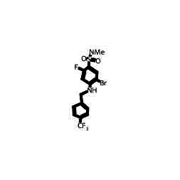 CNS(=O)(=O)c1cc(Br)c(NCc2ccc(C(F)(F)F)cc2)cc1F